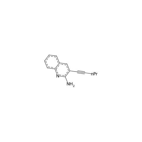 CCCC#Cc1cc2ccccc2nc1N